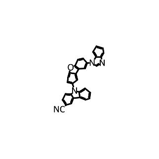 N#Cc1ccc2c(c1)c1ccccc1n2-c1ccc2oc3ccc(-n4cnc5ccccc54)cc3c2c1